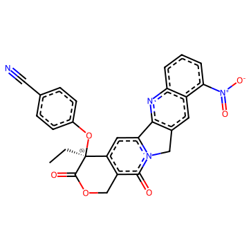 CC[C@@]1(Oc2ccc(C#N)cc2)C(=O)OCc2c1cc1n(c2=O)Cc2cc3c([N+](=O)[O-])cccc3nc2-1